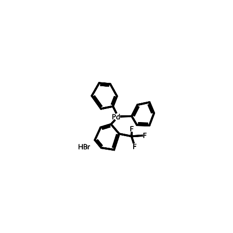 Br.FC(F)(F)c1cccc[c]1[Pd]([c]1ccccc1)[c]1ccccc1